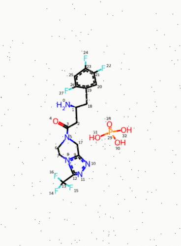 N[C@H](CC(=O)N1CCn2c(nnc2C(F)(F)F)C1)Cc1cc(F)c(F)cc1F.O=P(O)(O)O